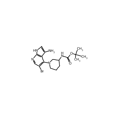 CC(C)(C)OC(=O)NC1CCCN(c2c(Br)cnc3[nH]cc(N)c23)C1